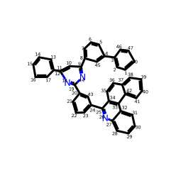 c1ccc(-c2cccc(-c3cc(-c4ccccc4)nc(-c4cccc(-c5nc6ccccc6c6c5ccc5ccccc56)c4)n3)c2)cc1